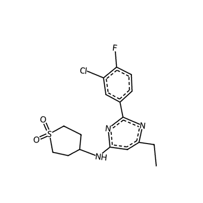 CCc1cc(NC2CCS(=O)(=O)CC2)nc(-c2ccc(F)c(Cl)c2)n1